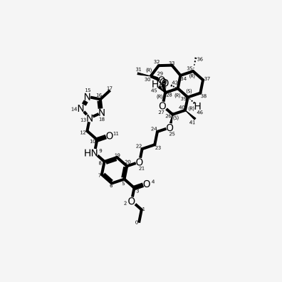 CCOC(=O)c1ccc(NC(=O)Cn2nnc(C)n2)cc1OCCCO[C@H]1O[C@@H]2O[C@@]3(C)CCC4[C@H](C)CC[C@@H]([C@H]1C)[C@]42OO3